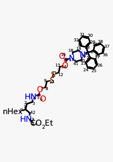 CCCCCCC(CCNC(=O)OCCSSCCOC(=O)N1CCN(C(c2ccccc2)(c2ccccc2)c2ccccc2)CC1)CNC(=O)OCC